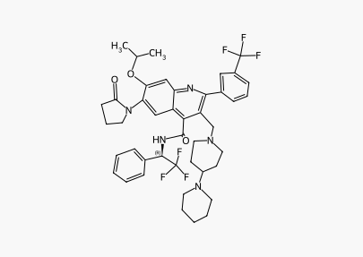 CC(C)Oc1cc2nc(-c3cccc(C(F)(F)F)c3)c(CN3CCC(N4CCCCC4)CC3)c(C(=O)N[C@H](c3ccccc3)C(F)(F)F)c2cc1N1CCCC1=O